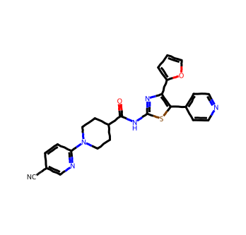 N#Cc1ccc(N2CCC(C(=O)Nc3nc(-c4ccco4)c(-c4ccncc4)s3)CC2)nc1